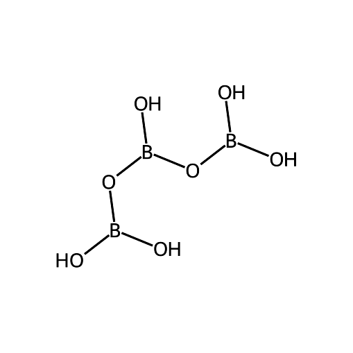 OB(O)OB(O)OB(O)O